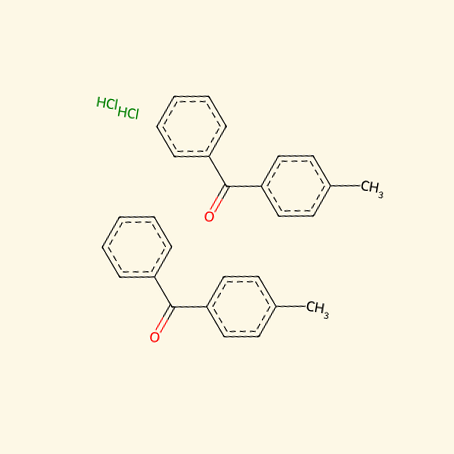 Cc1ccc(C(=O)c2ccccc2)cc1.Cc1ccc(C(=O)c2ccccc2)cc1.Cl.Cl